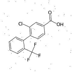 O=C(O)c1ccc(-c2ccccc2C(F)(F)F)c(Cl)c1